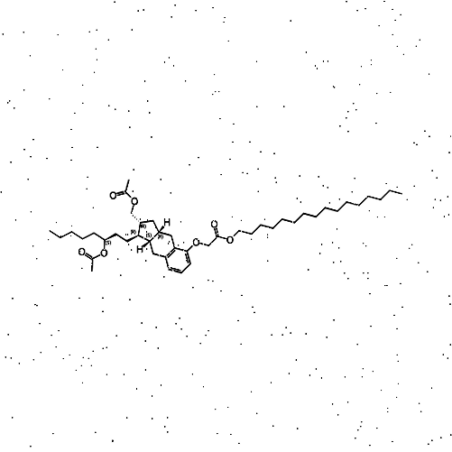 CCCCCCCCCCCCCCCCOC(=O)COc1cccc2c1C[C@H]1C[C@@H](COC(C)=O)[C@H](CC[C@H](CCCCC)OC(C)=O)[C@H]1C2